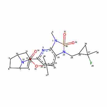 CN1c2nc(C3=CC4CCC(C3)N4C(=O)OC(C)(C)C)ccc2N(CC2CC2(C)F)S1(=O)=O